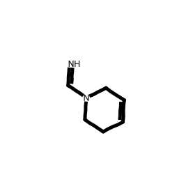 N=CN1CC=CCC1